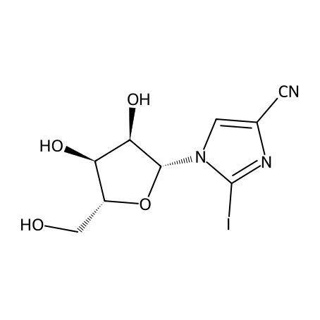 N#Cc1cn([C@@H]2O[C@H](CO)[C@@H](O)[C@H]2O)c(I)n1